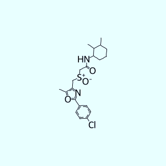 Cc1oc(-c2ccc(Cl)cc2)nc1C[S+]([O-])CC(=O)NC1CCCC(C)C1C